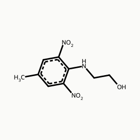 Cc1cc([N+](=O)[O-])c(NCCO)c([N+](=O)[O-])c1